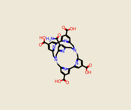 NC(=O)c1cc2nc(c1)C[N@]1Cc3cc(C(=O)O)cc(n3)-c3cc(C(=O)O)cc(n3)C[N@](C2)Cc2cc(C(=O)O)cc(n2)-c2cc(C(=O)O)cc(n2)C1